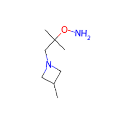 CC1CN(CC(C)(C)ON)C1